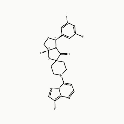 O=C1N2[C@@H](CC[C@H]2c2cc(F)cc(F)c2)OC12CCN(c1ccnc3c(F)cnn13)CC2